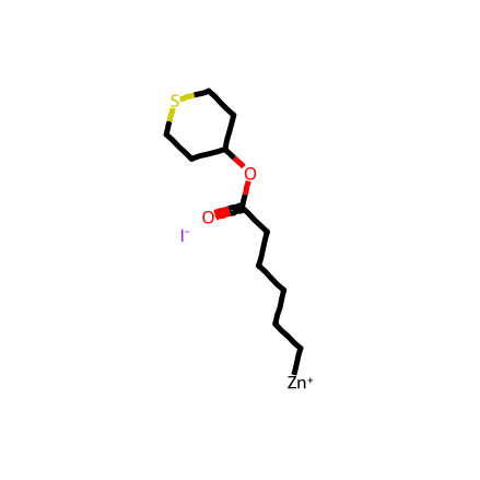 O=C(CCCC[CH2][Zn+])OC1CCSCC1.[I-]